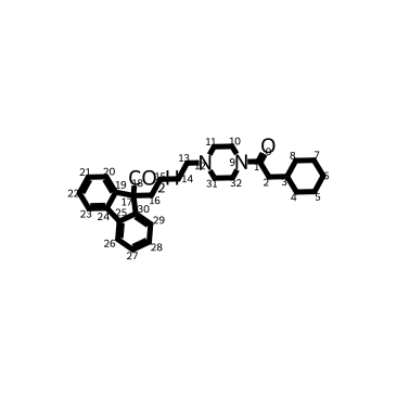 O=C(CC1CCCCC1)N1CCN(CCCCC2(C(=O)O)c3ccccc3-c3ccccc32)CC1